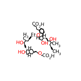 CC#CCC(C)[C@H](O)/C=C/[C@@H]1[C@H]2c3cccc(CCCC(=O)O)c3O[C@H]2C[C@H]1O.CCC#CC[C@H](C)[C@H](O)C#C[C@@H]1[C@H]2C/C(=C/COCC(=O)O)C[C@H]2C[C@H]1O